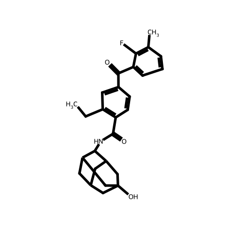 CCc1cc(C(=O)c2cccc(C)c2F)ccc1C(=O)NC1C2CC3CC1CC(O)(C3)C2